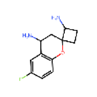 NC1CC2(CCC2N)Oc2ccc(F)cc21